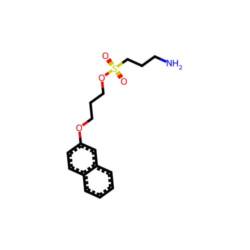 NCCCS(=O)(=O)OCCCOc1ccc2ccccc2c1